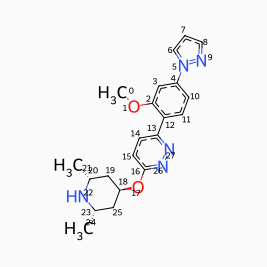 COc1cc(-n2cccn2)ccc1-c1ccc(O[C@@H]2C[C@@H](C)N[C@@H](C)C2)nn1